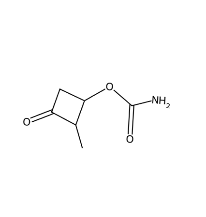 CC1C(=O)CC1OC(N)=O